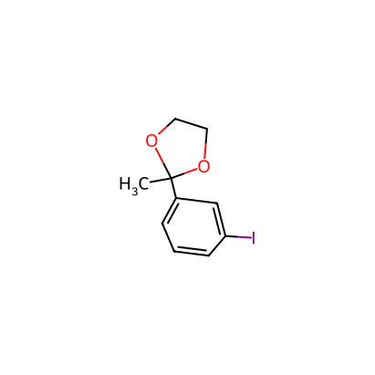 CC1(c2cccc(I)c2)OCCO1